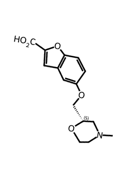 CN1CCO[C@H](COc2ccc3oc(C(=O)O)cc3c2)C1